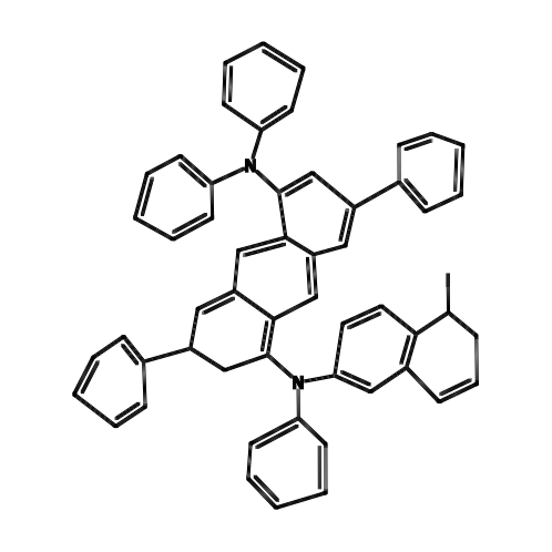 IC1CC=Cc2cc(N(C3=c4cc5cc(-c6ccccc6)cc(N(c6ccccc6)c6ccccc6)c5cc4=CC(c4ccccc4)C3)c3ccccc3)ccc21